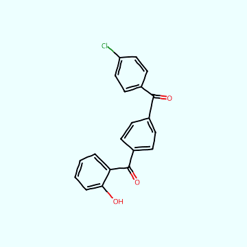 O=C(c1ccc(Cl)cc1)c1ccc(C(=O)c2ccccc2O)cc1